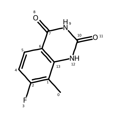 Cc1c(F)ccc2c(=O)[nH]c(=O)[nH]c12